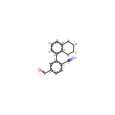 N#Cc1ccc(C=O)cc1-c1cccc2c1CCCC2